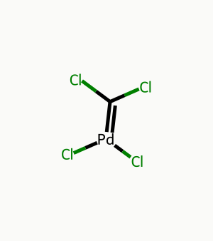 Cl[C](Cl)=[Pd]([Cl])[Cl]